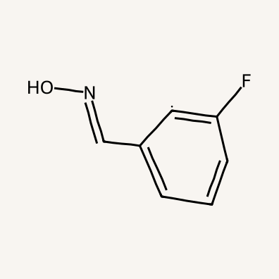 ON=Cc1[c]c(F)ccc1